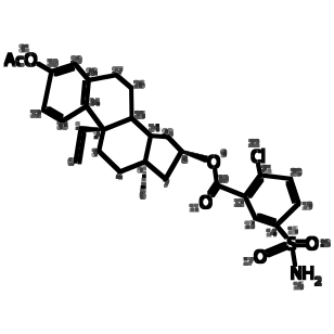 C=C[C@]12CC[C@]3(C)C[C@H](OC(=O)c4cc(S(N)(=O)=O)ccc4Cl)CC3C1CCc1cc(OC(C)=O)ccc12